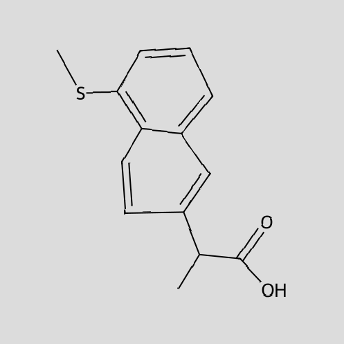 CSc1cccc2cc(C(C)C(=O)O)ccc12